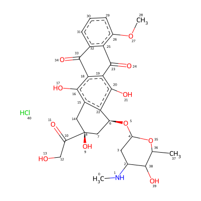 CNC1CC(O[C@H]2C[C@](O)(C(=O)CO)Cc3c(O)c4c(c(O)c32)C(=O)c2c(OC)cccc2C4=O)OC(C)C1O.Cl